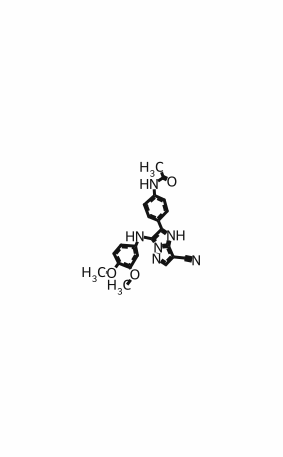 COc1ccc(Nc2c(-c3ccc(NC(C)=O)cc3)[nH]c3c(C#N)cnn23)cc1OC